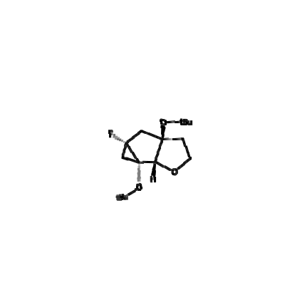 CC(C)(C)O[C@@]12CCO[C@@H]1[C@@]1(OC(C)(C)C)C[C@@]1(F)C2